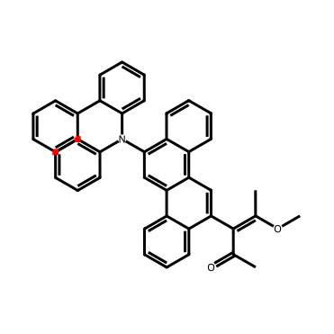 CO/C(C)=C(\C(C)=O)c1cc2c3ccccc3c(N(c3ccccc3)c3ccccc3-c3ccccc3)cc2c2ccccc12